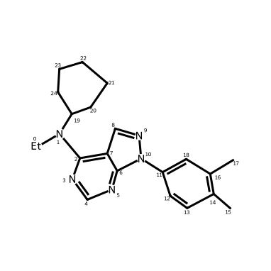 CCN(c1ncnc2c1cnn2-c1ccc(C)c(C)c1)C1CCCCC1